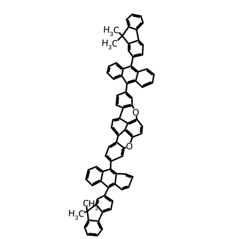 CC1(C)c2ccccc2-c2ccc(-c3c4ccccc4c(-c4ccc5c(c4)Oc4ccc6c7c(ccc-5c47)-c4ccc(-c5c7ccccc7c(-c7ccc8c(c7)C(C)(C)c7ccccc7-8)c7ccccc57)cc4O6)c4ccccc34)cc21